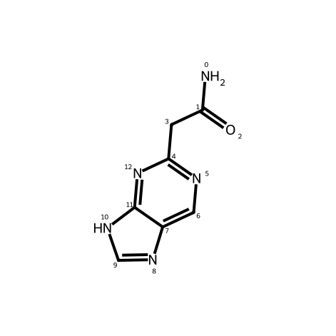 NC(=O)Cc1ncc2nc[nH]c2n1